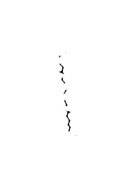 CC(C)(C)CCCCCC(=O)NCCOCCOCCNC(=O)CCSCC(C)(C)C